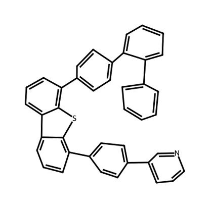 c1ccc(-c2ccccc2-c2ccc(-c3cccc4c3sc3c(-c5ccc(-c6cccnc6)cc5)cccc34)cc2)cc1